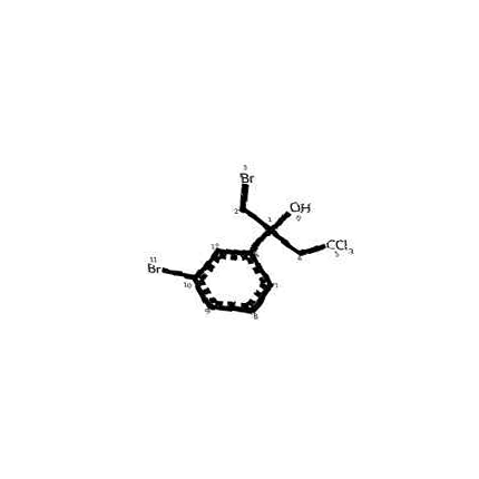 OC(CBr)(CC(Cl)(Cl)Cl)c1cccc(Br)c1